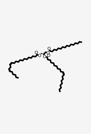 CCCCC/C=C\C/C=C\CCCCCCCCCCCC(=O)OC[C@@H](COC(=O)CCCCCCCCCCCCCCC)OC(=O)CCCCCCCCC/C=C\CCCCCCCC